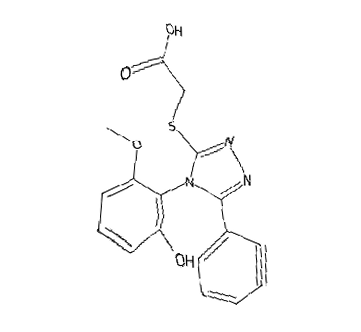 COc1cccc(O)c1-n1c(SCC(=O)O)nnc1-c1c#cccc1